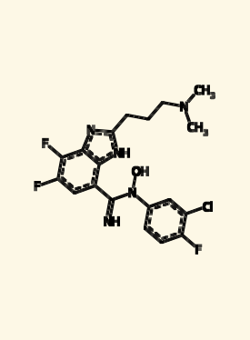 CN(C)CCCc1nc2c(F)c(F)cc(C(=N)N(O)c3ccc(F)c(Cl)c3)c2[nH]1